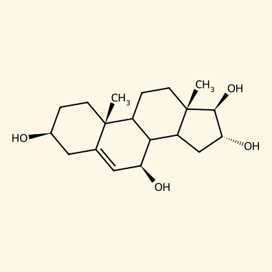 C[C@]12CC[C@H](O)CC1=C[C@H](O)C1C2CC[C@@]2(C)C1C[C@@H](O)[C@@H]2O